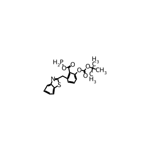 CC(C)(C)OC(=O)Oc1cccc(Cc2nc3ccccc3s2)c1C(=O)OP